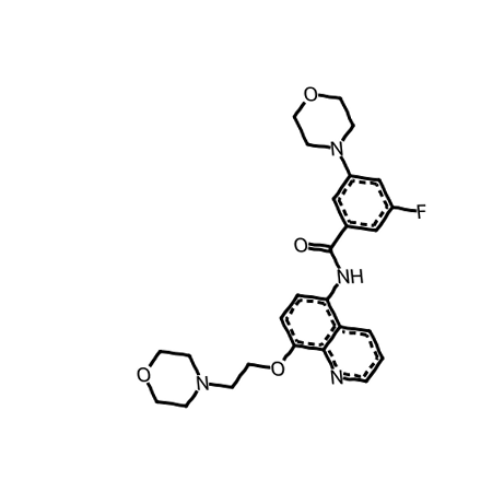 O=C(Nc1ccc(OCCN2CCOCC2)c2ncccc12)c1cc(F)cc(N2CCOCC2)c1